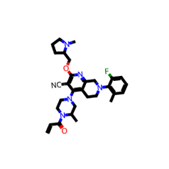 C=CC(=O)N1CCN(c2c(C#N)c(OCC3CCCN3C)nc3c2CCN(c2c(C)cccc2F)C3)CC1C